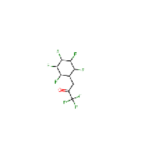 O=C(CC1C(F)C(F)C(F)C(F)C1F)C(F)(F)F